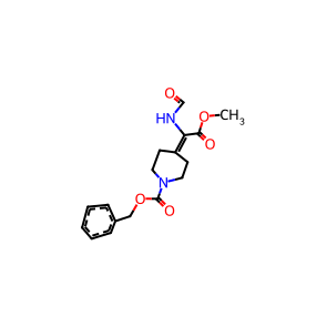 COC(=O)C(NC=O)=C1CCN(C(=O)OCc2ccccc2)CC1